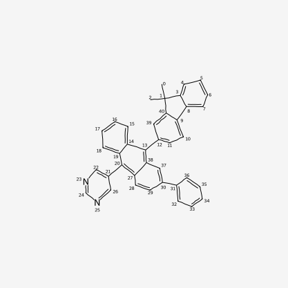 CC1(C)c2ccccc2-c2ccc(-c3c4ccccc4c(-c4cncnc4)c4ccc(-c5ccccc5)cc34)cc21